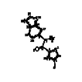 Cc1csc(C(=O)C(Br)c2ccc3ncsc3c2)n1